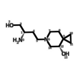 N[C@H](CO)CCN1CCC2(CC2)[C@H](O)C1